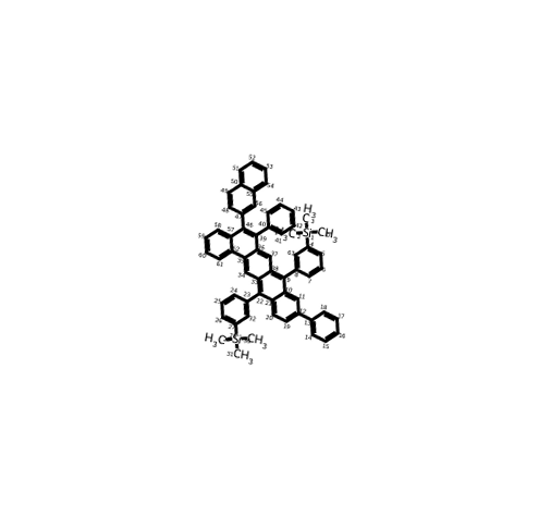 C[Si](C)(C)c1cccc(-c2c3cc(-c4ccccc4)ccc3c(-c3cccc([Si](C)(C)C)c3)c3cc4c(cc23)c(-c2ccccc2)c(-c2ccc3ccccc3c2)c2ccccc24)c1